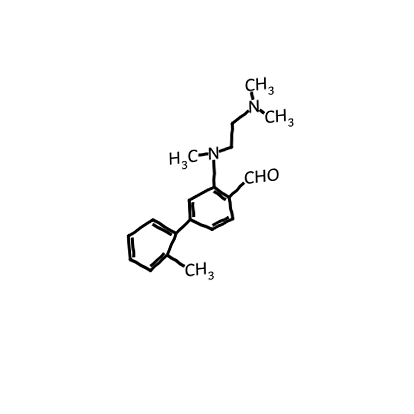 Cc1ccccc1-c1ccc(C=O)c(N(C)CCN(C)C)c1